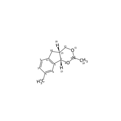 Cc1ccc2c(c1)[C@H]1ON(C)OC[C@H]1C2